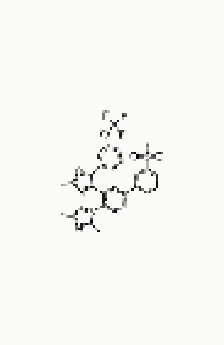 Cc1cn(-c2ccc(-c3cccc(S(C)(=O)=O)c3)cc2-c2nc(C)oc2-c2cccc(OC(F)(F)F)c2)c(C)n1